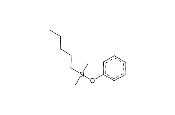 CCCCC[Si](C)(C)Oc1ccccc1